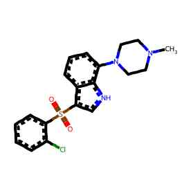 CN1CCN(c2cccc3c(S(=O)(=O)c4ccccc4Cl)c[nH]c23)CC1